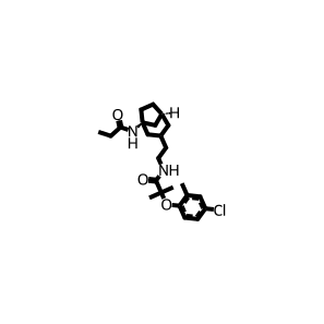 CCC(=O)N[C@]12CC[C@@H](CC(CCNC(=O)C(C)(C)Oc3ccc(Cl)cc3C)C1)C2